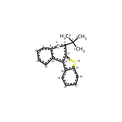 CC(C)(C)c1cc2ccccc2c2c1sc1ccccc12